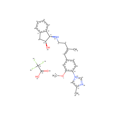 COc1cc(C=C(C)CCN[C@@H]2c3ccccc3C[C@@H]2O)ccc1-n1cnc(C)c1.O=C(O)C(F)(F)F